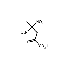 C=C(CC(C)([N+](=O)[O-])[N+](=O)[O-])C(=O)O